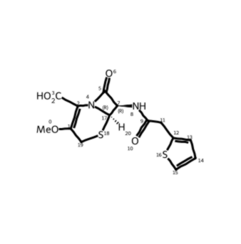 COC1=C(C(=O)O)N2C(=O)[C@@H](NC(=O)Cc3cccs3)[C@H]2SC1